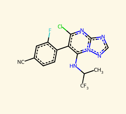 CC(Nc1c(-c2ccc(C#N)cc2F)c(Cl)nc2ncnn12)C(F)(F)F